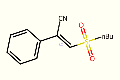 CCCCS(=O)(=O)/C=C(\C#N)c1ccccc1